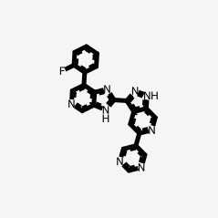 Fc1ccccc1-c1cncc2[nH]c(-c3n[nH]c4cnc(-c5cncnc5)cc34)nc12